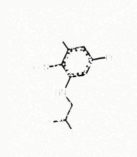 O=[N+]([O-])c1c(F)cc(Br)cc1NCC(F)F